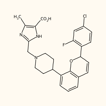 Cc1nc(CN2CCC(c3cccc4c3OC(c3ccc(Cl)cc3F)C=C4)CC2)[nH]c1C(=O)O